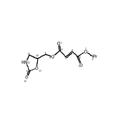 CC(C)OC(=O)/C=C/C(=O)OCC1CNC(=O)O1